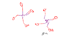 O=P([O-])([O-])O.O=P([O-])([O-])O.[Zr+4]